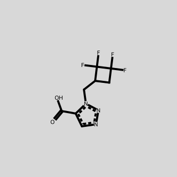 O=C(O)c1cnnn1CC1CC(F)(F)C1(F)F